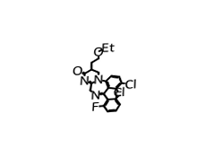 CCOCCC1CN2C(=NC1=O)CN=C(c1c(F)cccc1F)c1c2ccc(Cl)c1Cl